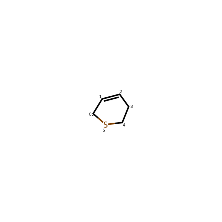 [C]1C=CCCS1